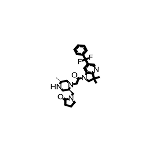 C[C@@H]1CN(CC(=O)N2CC(C)(C)c3ncc(C(F)(F)c4ccccc4)cc32)[C@@H](CN2CCCC2=O)CN1